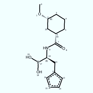 CO[C@@H]1CCC[C@H](C(=O)N[C@@H](Cc2ccsc2)B(O)O)C1